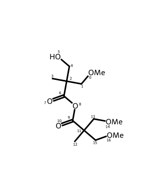 COCC(C)(CO)C(=O)OC(=O)C(C)(COC)COC